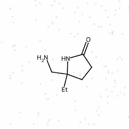 CCC1(CN)CCC(=O)N1